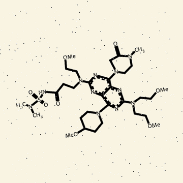 COCCN(CCC(=O)NS(=O)(=O)N(C)C)c1nc(N2CCN(C)C(=O)C2)c2nc(N(CCOC)CCOC)nc(N3CCC(OC)CC3)c2n1